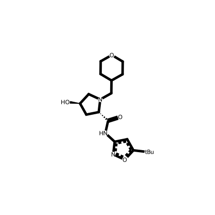 CC(C)(C)c1cc(NC(=O)[C@@H]2C[C@@H](O)CN2CC2CCOCC2)no1